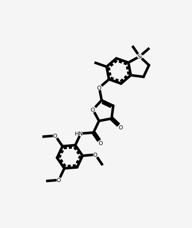 COc1cc(OC)c(NC(=O)C2OC(Oc3cc4c(cc3C)[Si](C)(C)CC4)=CC2=O)c(OC)c1